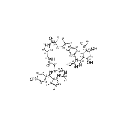 Cc1sc2c(c1C)C(c1ccc(Cl)cc1)=N[C@@H](CC(=O)NCC1CCN(C(=O)C3CCN(Cc4ccc(-n5c(O)nnc5-c5cc(C(C)C)c(O)cc5O)cc4)CC3)C1)c1nnc(C)n1-2